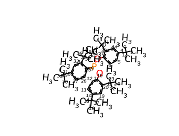 CC(C)(C)c1ccc(OP(Oc2ccc(C(C)(C)C)cc2C(C)(C)C)c2ccc(C(C)(C)C)cc2C(C)(C)C)c(C(C)(C)C)c1